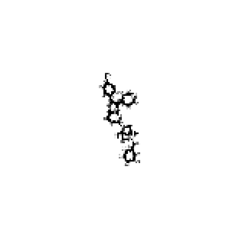 Fc1ccc(-c2nc3ccc(N4C[C@@H]5C[C@H]4CN5Cc4ccccc4)nn3c2-c2ccncc2)cc1